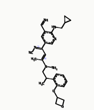 C/C(=C\C(=N/C#N)c1cnc(NCC2CC2)c(C=N)c1)N(N)CC(C)c1ccccc1OC1COC1